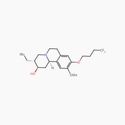 COc1cc2c(cc1OCCCC(F)(F)F)CCN1C[C@@H](CC(C)(C)C)[C@H](O)C[C@H]21